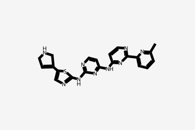 Cc1cccc(-c2nccc(Nc3ccnc(Nc4ncc(C5=CCNC5)s4)n3)n2)n1